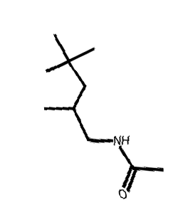 CC(=O)NCC(C)CC(C)(C)C